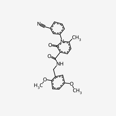 COc1ccc(OC)c(CNC(=O)c2ccc(C)n(-c3cccc(C#N)c3)c2=O)c1